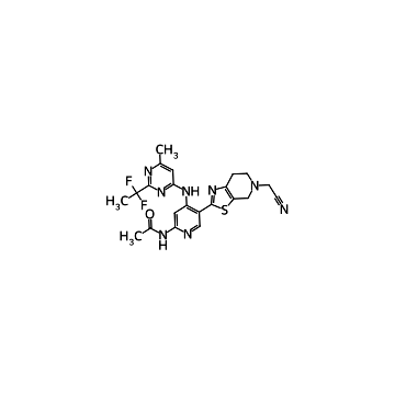 CC(=O)Nc1cc(Nc2cc(C)nc(C(C)(F)F)n2)c(-c2nc3c(s2)CN(CC#N)CC3)cn1